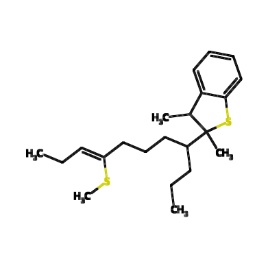 CC/C=C(/CCCC(CCC)C1(C)Sc2ccccc2C1C)SC